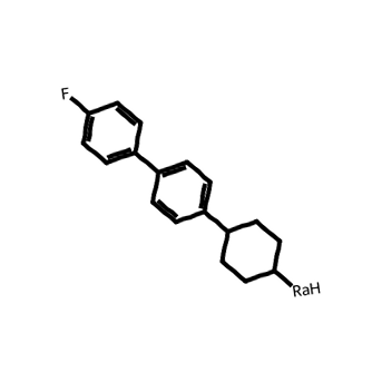 Fc1ccc(-c2ccc(C3CC[CH]([RaH])CC3)cc2)cc1